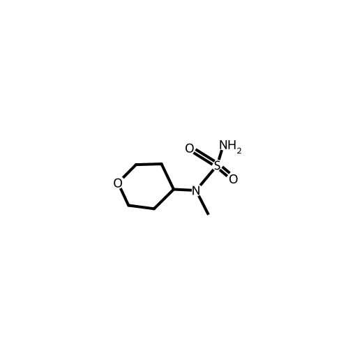 CN(C1CCOCC1)S(N)(=O)=O